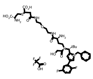 CC(C)(C)[C@H](c1cc(-c2cc(F)ccc2F)cn1Cc1ccccc1)N(CC[C@H](N)C(=O)NCCOCCNC(=O)CC(SC[C@H](N)C(=O)O)C(=O)O)C(=O)CO.O=C(O)C(F)(F)F